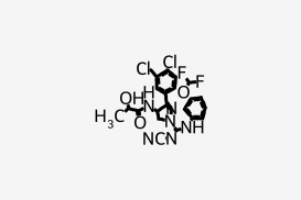 CC(O)C(=O)NC1CN(C(=NC#N)Nc2cccc(OC(F)F)c2)N=C1c1ccc(Cl)c(Cl)c1